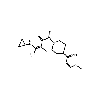 C=C(C(=C)N1CCC(C(=N)/C=C\NC)CC1)/C(C)=C(/N)NC1(C)CC1